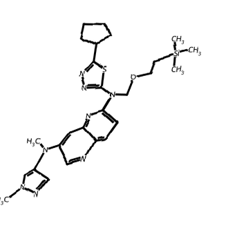 CN(c1cnc2ccc(N(COCC[Si](C)(C)C)c3nnc(C4CCCC4)s3)nc2c1)c1cnn(C)c1